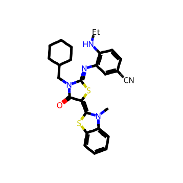 CCNc1ccc(C#N)cc1N=C1SC(=C2Sc3ccccc3N2C)C(=O)N1CC1CCCCC1